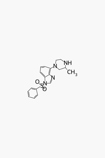 CC1CN(c2cccc3c2ncn3S(=O)(=O)c2ccccc2)CCN1